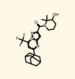 CC1(C)C(O)CCCN1C(=O)c1cc2nc(C34CC5CC(CC(C5)C3)C4)cc(C(F)(F)F)n2n1